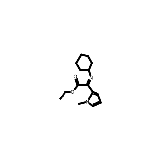 CCOC(=O)C(=NC1CCCCC1)c1cccn1C